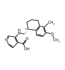 COc1ccc2c(c1C)CCC[C@H]2CNc1cnccc1C(=O)O